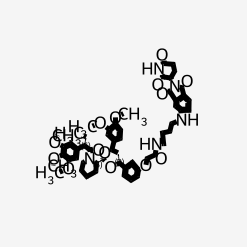 CC[C@H](C(=O)N1CCCC[C@H]1C(=O)O[C@H](CCc1ccc(OC)c(OC)c1)c1cccc(OCC(=O)NCCCCNc2ccc3c(c2)C(=O)N(C2CCC(=O)NC2=O)C3=O)c1)c1cc(OC)c(OC)c(OC)c1